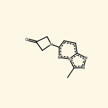 Cc1nnc2ccc(N3CC(=O)C3)nn12